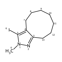 Cn1nc2c(c1I)CCCCCCC2